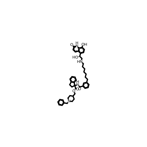 O=C(NC1(C(=O)OCC2CCN(Cc3ccccc3)CC2)CCc2ccccc21)c1cccc(CCCCCCCNC[C@H](O)c2ccc(O)c3[nH]c(=O)ccc23)c1